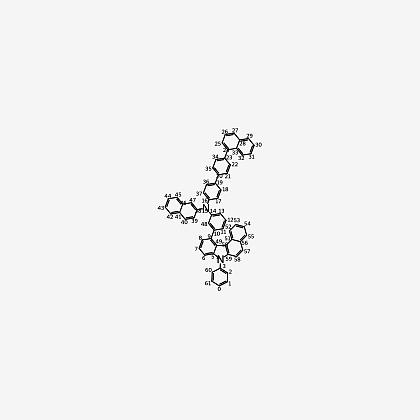 c1ccc(-n2c3cccc(-c4cccc(N(c5ccc(-c6ccc(-c7cccc8ccccc78)cc6)cc5)c5ccc6ccccc6c5)c4)c3c3c4ccccc4ccc32)cc1